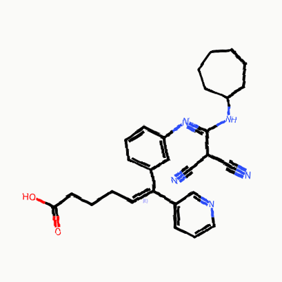 N#CC(C#N)C(=Nc1cccc(/C(=C\CCCC(=O)O)c2cccnc2)c1)NC1CCCCCC1